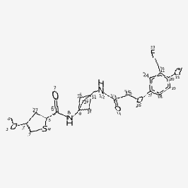 COC1CSC(C(=O)NC23CC(NC(=O)COc4ccc(Cl)c(F)c4)(C2)C3)C1